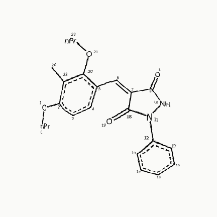 CCCOc1ccc(/C=C2/C(=O)NN(c3ccccc3)C2=O)c(OCCC)c1C